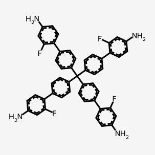 Nc1ccc(-c2ccc(C(c3ccc(-c4ccc(N)cc4F)cc3)(c3ccc(-c4ccc(N)cc4F)cc3)c3ccc(-c4ccc(N)cc4F)cc3)cc2)c(F)c1